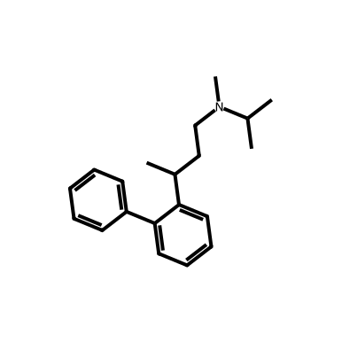 CC(CCN(C)C(C)C)c1ccccc1-c1ccccc1